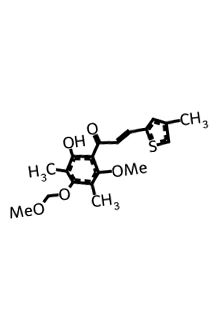 COCOc1c(C)c(O)c(C(=O)C=Cc2cc(C)cs2)c(OC)c1C